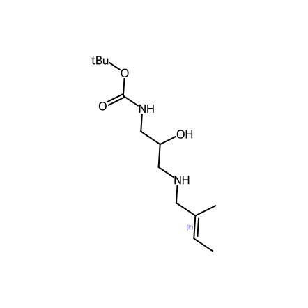 C/C=C(\C)CNCC(O)CNC(=O)OC(C)(C)C